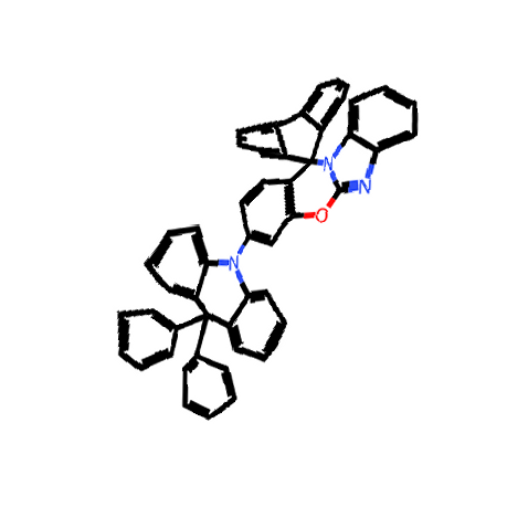 c1ccc(C2(c3ccccc3)c3ccccc3N(c3ccc4c(c3)Oc3nc5ccccc5n3C43c4ccccc4-c4ccccc43)c3ccccc32)cc1